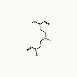 C=CN(CCN(C)CCN(C=C)C(C)=O)C(C)=O